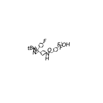 CC(O)C(F)(F)c1ccc(CC(=O)Nc2ccc(-c3cnn(C(C)(C)C)c3-c3ccc(F)cc3)cc2)cc1